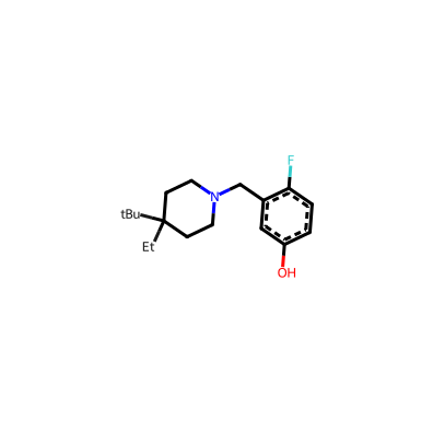 CCC1(C(C)(C)C)CCN(Cc2cc(O)ccc2F)CC1